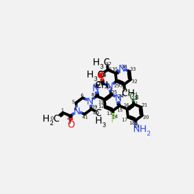 C=CC(=O)N1CCN(/C(=N/C)c2cc(F)c(-c3cc(N)ccc3Cl)nc2N(C=O)c2c(C)ccnc2C(C)C)C(C)C1